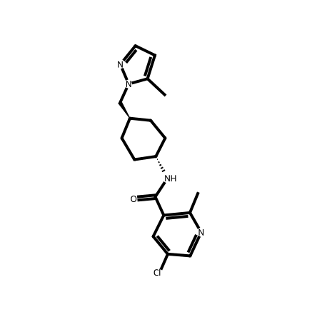 Cc1ncc(Cl)cc1C(=O)N[C@H]1CC[C@H](Cn2nccc2C)CC1